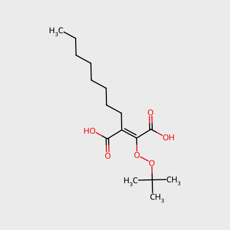 CCCCCCCC/C(C(=O)O)=C(/OOC(C)(C)C)C(=O)O